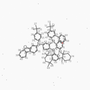 Cc1cc2c3c(c1)N1c4c(cc5c(c4B3c3ccc(N(c4ccc(C(C)(C)C)cc4)c4ccc6c(c4)oc4ccccc46)cc3N2c2ccc(C(C)(C)C)cc2-c2ccccc2)C(C)(C)CCC5(C)C)C2(C)CCCCC12C